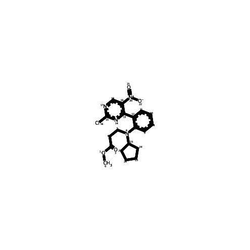 COC(=O)CCN(c1ccccc1-c1nc(Cl)ncc1[N+](=O)[O-])C1CCCC1